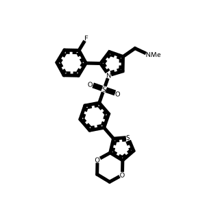 CNCc1cc(-c2ccccc2F)n(S(=O)(=O)c2cccc(-c3scc4c3OCCO4)c2)c1